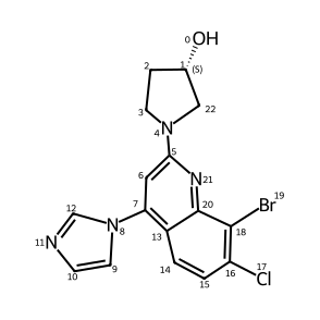 O[C@H]1CCN(c2cc(-n3ccnc3)c3ccc(Cl)c(Br)c3n2)C1